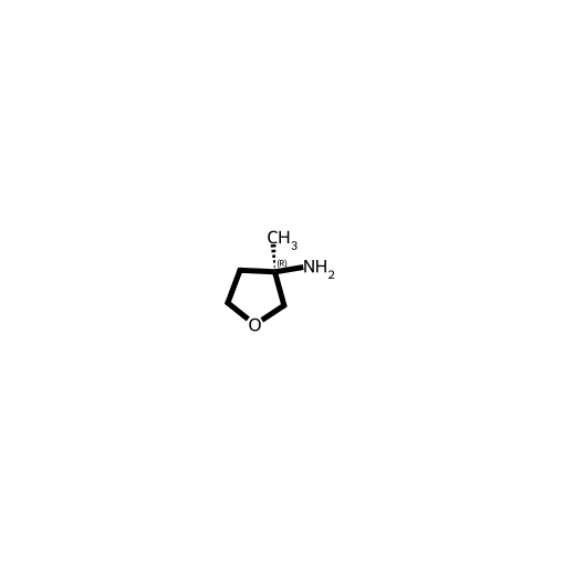 C[C@@]1(N)CCOC1